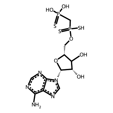 Nc1ncnc2c1ncn2[C@@H]1O[C@H](COP(=S)(S)CP(O)(O)=S)C(O)[C@@H]1O